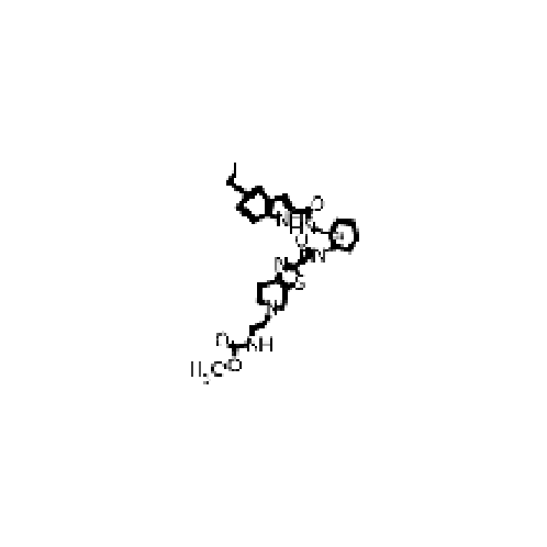 COC(=O)NCCN1CCc2nc(C(=O)N[C@@H]3CCCC[C@@H]3NC(=O)c3cc4cc(CI)ccc4[nH]3)sc2C1